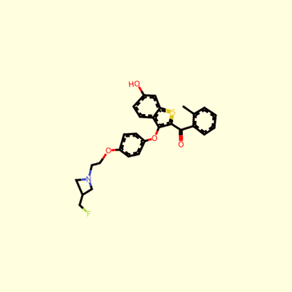 Cc1ccccc1C(=O)c1sc2cc(O)ccc2c1Oc1ccc(OCCN2CC(CF)C2)cc1